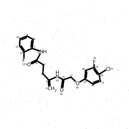 C=C(CCC(=O)Nc1ccccc1F)NC(=O)COc1ccc(Cl)c(F)c1